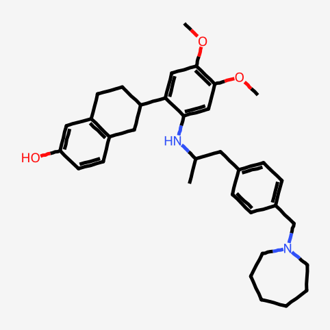 COc1cc(NC(C)Cc2ccc(CN3CCCCCC3)cc2)c(C2CCc3cc(O)ccc3C2)cc1OC